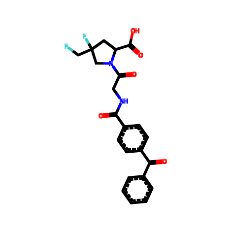 O=C(NCC(=O)N1CC(F)(CF)CC1C(=O)O)c1ccc(C(=O)c2ccccc2)cc1